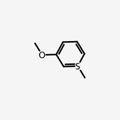 COC1=CC=CS(C)=C1